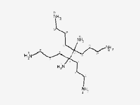 NCCCC(N)(CCCN)C(N)(CCCN)CCCN